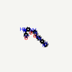 O=C(Nc1ccc2[nH]nc(-c3cc[n+]([O-])cc3)c2c1)[C@@H]1CCN(CC(=O)N2CCN(c3ccc(-c4ncccn4)cc3)CC2)C1